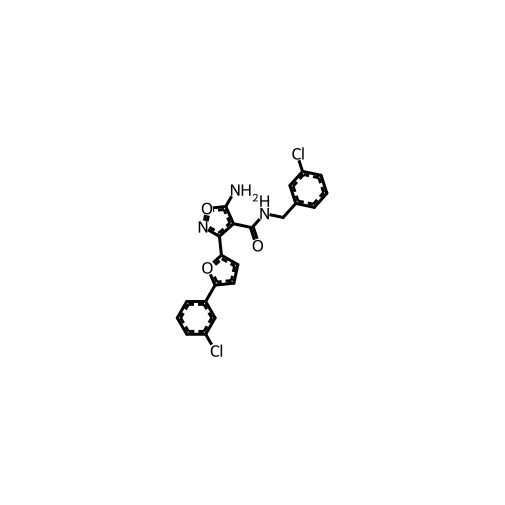 Nc1onc(-c2ccc(-c3cccc(Cl)c3)o2)c1C(=O)NCc1cccc(Cl)c1